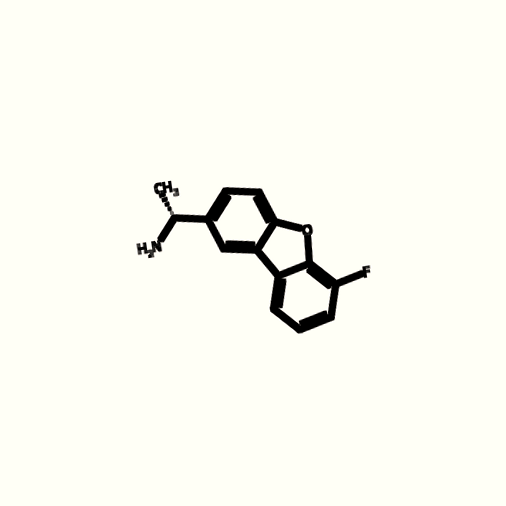 C[C@@H](N)c1ccc2oc3c(F)cccc3c2c1